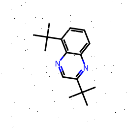 CC(C)(C)c1cnc2c(C(C)(C)C)cccc2n1